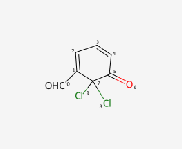 O=CC1=CC=CC(=O)C1(Cl)Cl